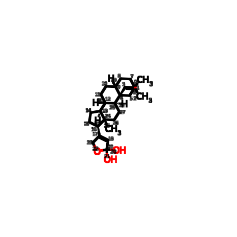 CC(C)=C[C@]12CCCC[C@H]1CC[C@H]1[C@@H]3CC[C@H](C4=CC(O)(O)OC4)[C@@]3(C)CC[C@@H]12